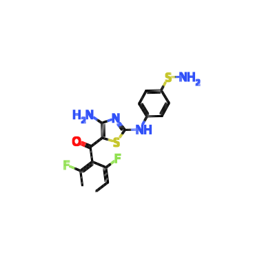 C/C=C(F)\C(C(=O)c1sc(Nc2ccc(SN)cc2)nc1N)=C(/C)F